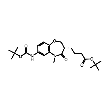 CN1C(=O)[C@@H](CCCC(=O)OC(C)(C)C)COc2ccc(NC(=O)OC(C)(C)C)cc21